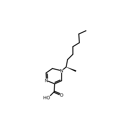 CCCCCC[C@@H](C)N1C=C(C(=O)O)N=CC1